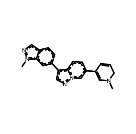 CN1C=C(c2ccc3c(-c4ccc5cnn(C)c5c4)cnn3c2)C=CC1